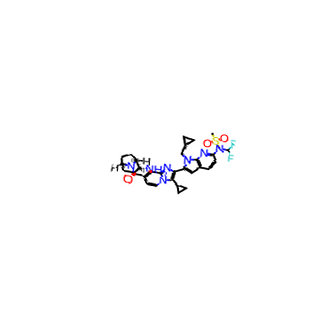 CS(=O)(=O)N(c1ccc2cc(-c3nc4cc(C(=O)N5[C@@H]6CC[C@@H](N)[C@H]5CC6)ccn4c3C3CC3)n(CC3CC3)c2n1)C(F)F